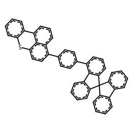 c1ccc2c(c1)Sc1ccc(-c3ccc(-c4cccc5c4-c4ccccc4C54c5ccccc5-c5ccccc54)cc3)c3cccc-2c13